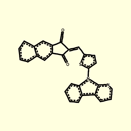 O=C1C(=Cc2ccc(-n3c4ccccc4c4cccnc43)s2)C(=O)c2cc3ccccc3cc21